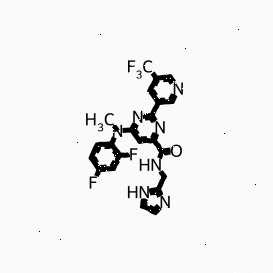 CN(c1cc(C(=O)NCc2ncc[nH]2)nc(-c2cncc(C(F)(F)F)c2)n1)c1ccc(F)cc1F